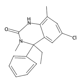 CCC1(c2ccccc2)c2cc(Cl)cc(C)c2NC(=O)N1C